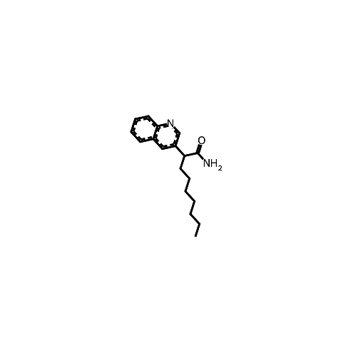 CCCCCCCC(C(N)=O)c1cnc2ccccc2c1